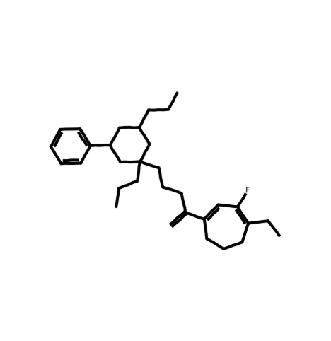 C=C(CCCC1(CCC)CC(CCC)CC(c2ccccc2)C1)C1=CC(F)=C(CC)CCC1